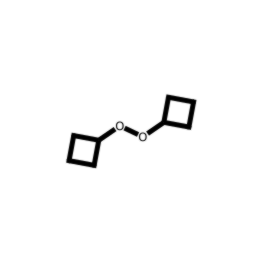 C1CC(OOC2CCC2)C1